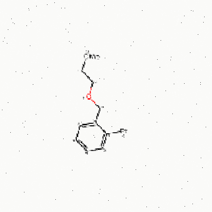 CCc1ccccc1COCCOC